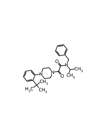 CC(C)N(Cc1ccccc1)C(=O)C(=O)N1CCN(c2ccccc2C(C)(C)C)CC1